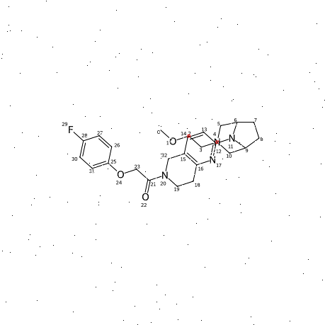 COCCN1CC2CCC(C1)N2c1ccc2c(n1)CCN(C(=O)COc1ccc(F)cc1)C2